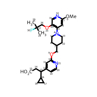 COc1cc(N2CCC(COc3cc(C(CC(=O)O)C4CC4)ccn3)CC2)c(OCC(C)(C)F)cn1